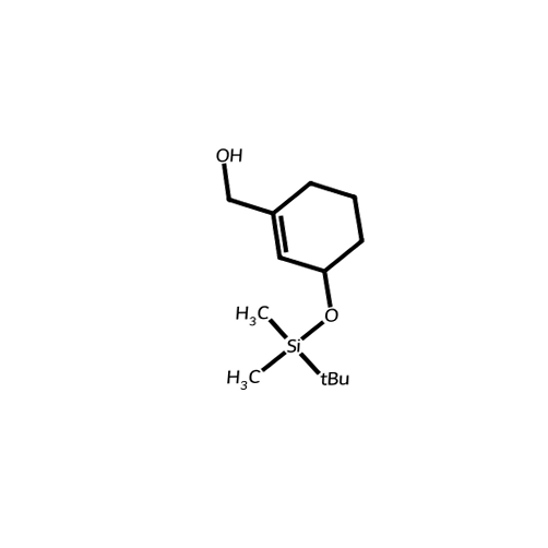 CC(C)(C)[Si](C)(C)OC1C=C(CO)CCC1